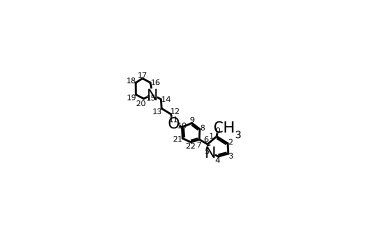 Cc1cccnc1-c1ccc(OCCCN2CCCCC2)cc1